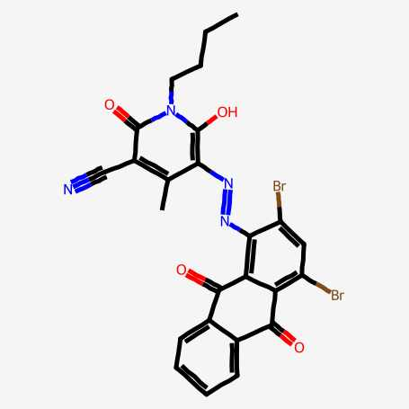 CCCCn1c(O)c(/N=N/c2c(Br)cc(Br)c3c2C(=O)c2ccccc2C3=O)c(C)c(C#N)c1=O